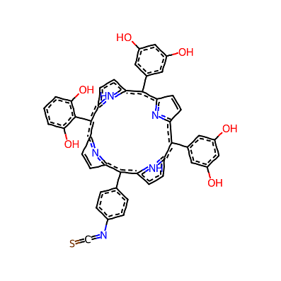 Oc1cc(O)cc(-c2c3nc(c(-c4cc(O)cc(O)c4)c4ccc([nH]4)c(-c4c(O)cccc4O)c4nc(c(-c5ccc(N=C=S)cc5)c5ccc2[nH]5)C=C4)C=C3)c1